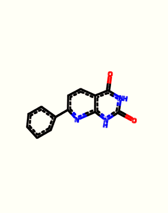 O=c1[nH]c(=O)c2ccc(-c3ccccc3)nc2[nH]1